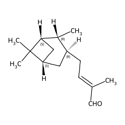 CC(C=O)=CC[C@H]1C[C@H]2C[C@@H]([C@@H]1C)C2(C)C